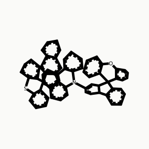 C1=CC2c3ccccc3C3(c4ccccc4Oc4ccccc43)C2C=C1N(c1ccccc1-c1ccccc1)c1cccc2c1-c1cc3ccccc3cc1C21c2ccccc2Sc2ccccc21